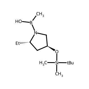 CC[C@H]1C[C@H](O[Si](C)(C)C(C)(C)C)CN1B(C)O